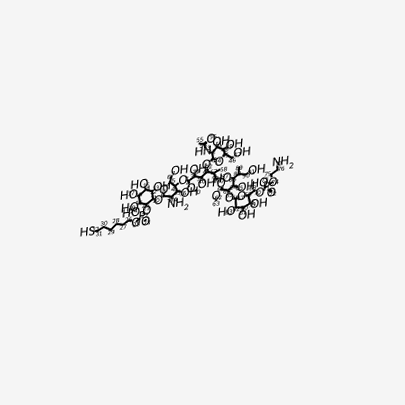 COC(OC1C(CO)OC(OC2C(O)C(O)C(O)C(O)C2OP(=O)(O)OCCCCCCS)C(N)C1O)C(O)C(O)C(OC1OC(CO)C(O)C(O)C1NC(C)=O)C(C)COC(OC)C(OC1OC(COP(=O)(O)OCCN)C(O)C(O)C1O)C(O)C(O)C(C)CO